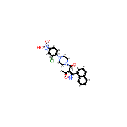 Cc1onc(-c2cccc3ccccc23)c1C(=O)N1CCN(c2ccc([NH+]([O-])O)cc2Cl)CC1